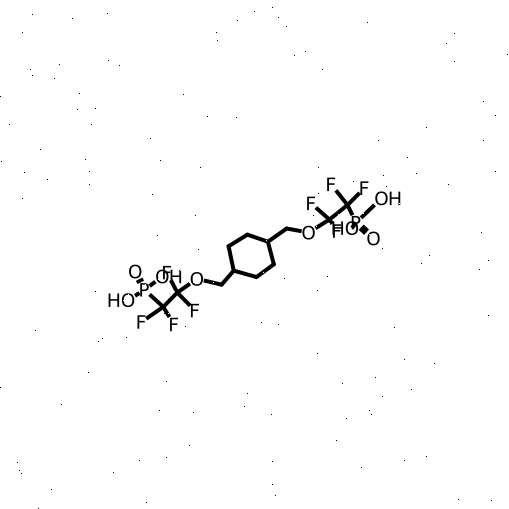 O=P(O)(O)C(F)(F)C(F)(F)OCC1CCC(COC(F)(F)C(F)(F)P(=O)(O)O)CC1